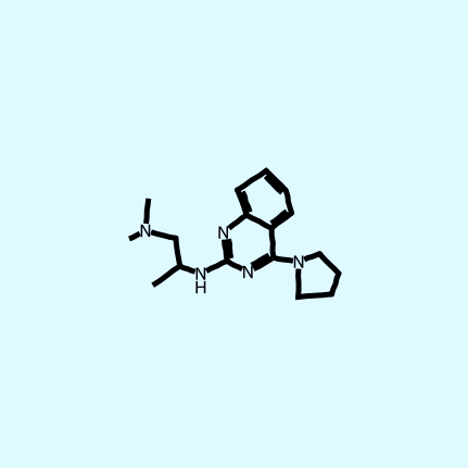 CC(CN(C)C)Nc1nc(N2CCCC2)c2ccccc2n1